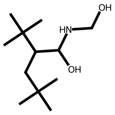 CC(C)(C)CC(C(O)NCO)C(C)(C)C